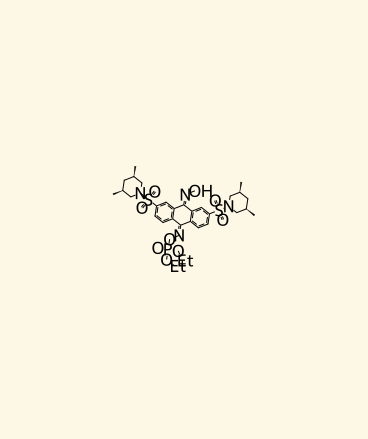 CCOP(=O)(OCC)ON=C1c2ccc(S(=O)(=O)N3C[C@H](C)C[C@H](C)C3)cc2C(=NO)c2cc(S(=O)(=O)N3C[C@H](C)C[C@H](C)C3)ccc21